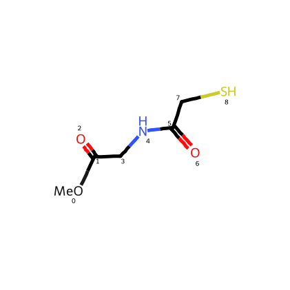 COC(=O)CNC(=O)CS